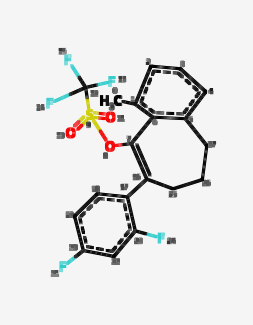 Cc1cccc2c1C(OS(=O)(=O)C(F)(F)F)=C(c1ccc(F)cc1F)CCC2